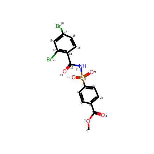 COC(=O)c1ccc(S(=O)(=O)NC(=O)c2ccc(Br)cc2Br)cc1